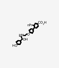 CCCc1cc(C(=O)O)ccc1-c1ccc(OCCN[C@H](C)[C@H](O)c2ccc(O)cc2)cc1